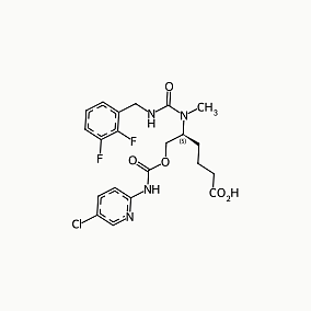 CN(C(=O)NCc1cccc(F)c1F)[C@@H](CCCC(=O)O)COC(=O)Nc1ccc(Cl)cn1